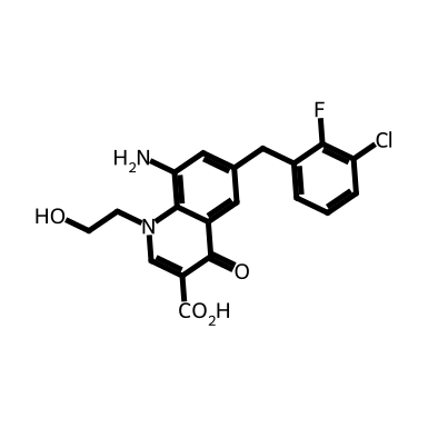 Nc1cc(Cc2cccc(Cl)c2F)cc2c(=O)c(C(=O)O)cn(CCO)c12